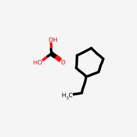 CCC1CCCCC1.O=C(O)O